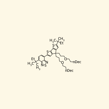 CCCCCCCCCCCCOCCCC1(CCCOCCCCCCCCCCCC)c2cc(-c3ccc(C(C)(C)CC)c4nsnc34)sc2-c2sc(C(C)(C)CC)cc21